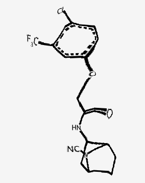 N#CN1C2CCC1C(NC(=O)COc1ccc(Cl)c(C(F)(F)F)c1)C2